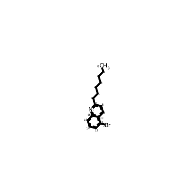 CCCCCCCc1ccc2c(Br)cccc2n1